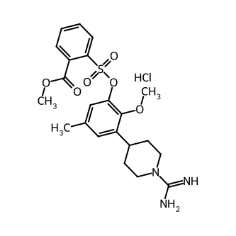 COC(=O)c1ccccc1S(=O)(=O)Oc1cc(C)cc(C2CCN(C(=N)N)CC2)c1OC.Cl